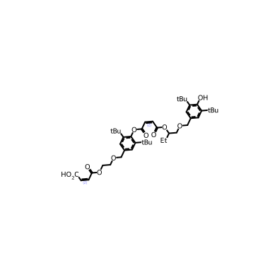 CCC(COCc1cc(C(C)(C)C)c(O)c(C(C)(C)C)c1)OC(=O)/C=C\C(=O)Oc1c(C(C)(C)C)cc(COCCOC(=O)/C=C\C(=O)O)cc1C(C)(C)C